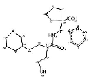 O=C(NC(c1ccccc1)C1(C(=O)O)CCCC1)N(CCO)CCC1CCCCC1